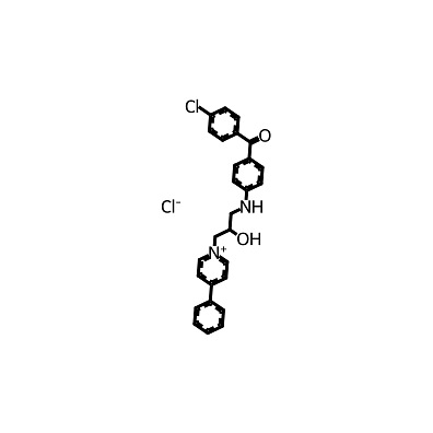 O=C(c1ccc(Cl)cc1)c1ccc(NCC(O)C[n+]2ccc(-c3ccccc3)cc2)cc1.[Cl-]